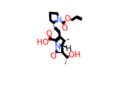 C=CCOC(=O)N1CCC[C@H]1C=CC1=C(C(=O)O)N2C(=O)[C@H]([C@@H](C)O)[C@H]2[C@H]1C